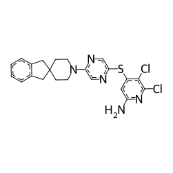 Nc1cc(Sc2cnc(N3CCC4(CC3)Cc3ccccc3C4)cn2)c(Cl)c(Cl)n1